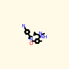 Cc1nc(C2CC2)c(-c2cc(C(=O)N3CC(c4ccc(C#N)cc4)C3)ccc2C)[nH]1